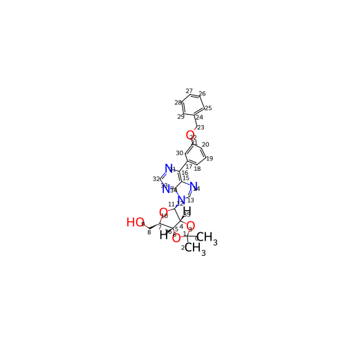 CC1(C)O[C@@H]2[C@H](O1)[C@@H](CO)O[C@H]2n1cnc2c(-c3cccc(OCc4ccccc4)c3)ncnc21